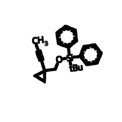 CC#CC1(CO[Si](c2ccccc2)(c2ccccc2)C(C)(C)C)CC1